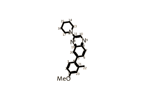 COc1ccc(-c2ccc3ncc(N4CCCCC4)nc3c2)c(C)c1